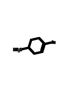 CC(=O)C1=CCC(C(=O)O)CC1